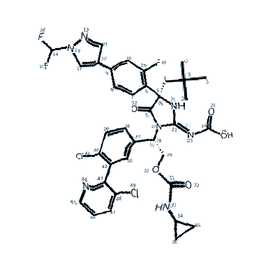 CC(C)(C)C[C@]1(c2ccc(-c3cnn(C(F)F)c3)cc2F)N/C(=N\C(=O)O)N([C@H](COC(=O)NC2CC2)c2ccc(Cl)c(-c3ncccc3Cl)c2)C1=O